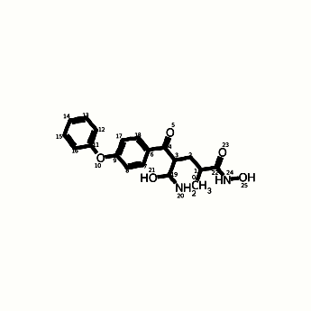 CC(CC(C(=O)c1ccc(Oc2ccccc2)cc1)C(N)O)C(=O)NO